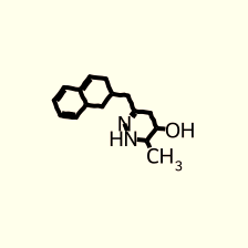 CC1NN=C(CC2CC=C3C=CC=CC3C2)CC1O